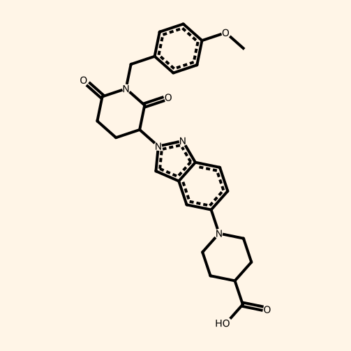 COc1ccc(CN2C(=O)CCC(n3cc4cc(N5CCC(C(=O)O)CC5)ccc4n3)C2=O)cc1